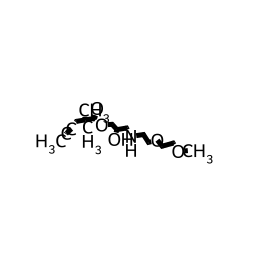 CCCCC(C)(C)C(=O)OCC(O)CNCCOCCOC